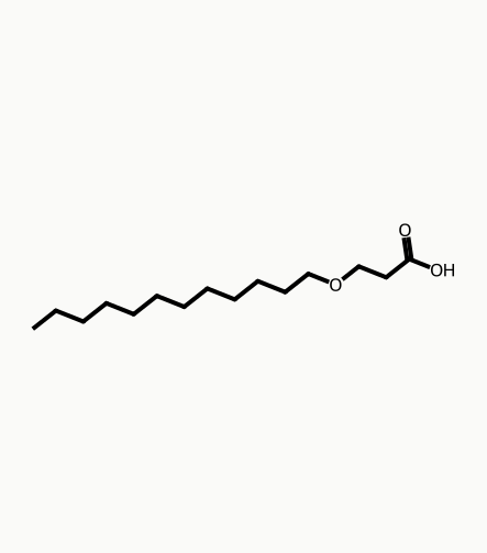 CCCCCCCCCCCCOCCC(=O)O